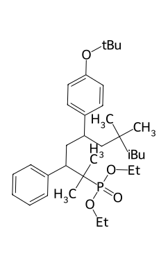 CCOP(=O)(OCC)C(C)(C)C(CC(CC(C)(C)C(C)CC)c1ccc(OC(C)(C)C)cc1)c1ccccc1